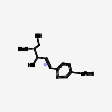 CCCCCc1ccc(/C=C/C(O)C(CO)NC)cc1